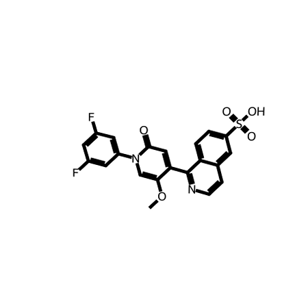 COc1cn(-c2cc(F)cc(F)c2)c(=O)cc1-c1nccc2cc(S(=O)(=O)O)ccc12